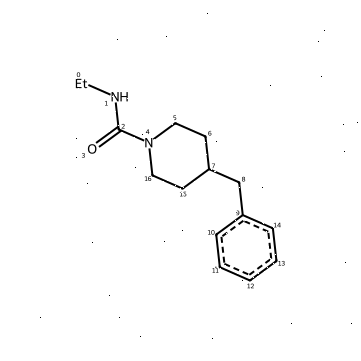 CCNC(=O)N1CCC(Cc2c[c]ccc2)CC1